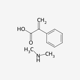 C=C(C(=O)O)c1ccccc1.CNC